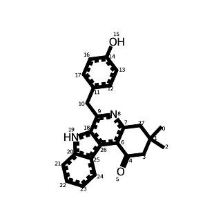 CC1(C)CC(=O)c2c(nc(Cc3ccc(O)cc3)c3[nH]c4ccccc4c23)C1